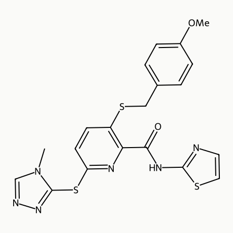 COc1ccc(CSc2ccc(Sc3nncn3C)nc2C(=O)Nc2nccs2)cc1